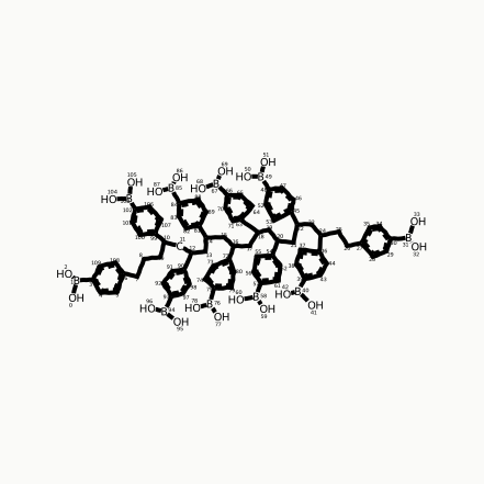 OB(O)c1ccc(CCCC(CC(CC(CC(CC(CC(CC(CC(CCc2ccc(B(O)O)cc2)c2ccc(B(O)O)cc2)c2ccc(B(O)O)cc2)c2ccc(B(O)O)cc2)c2ccc(B(O)O)cc2)c2ccc(B(O)O)cc2)c2ccc(B(O)O)cc2)c2ccc(B(O)O)cc2)c2ccc(B(O)O)cc2)cc1